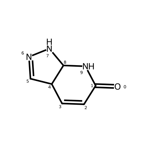 O=C1C=CC2C=NNC2N1